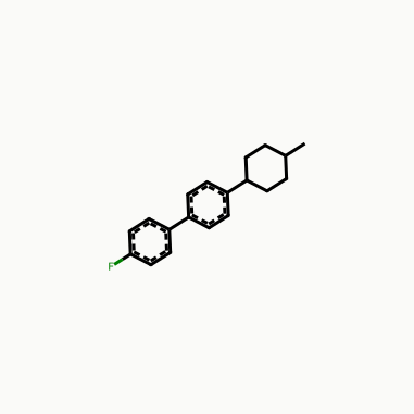 CC1CCC(c2ccc(-c3ccc(F)cc3)cc2)CC1